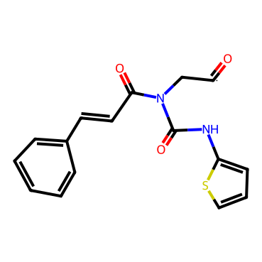 O=[C]CN(C(=O)C=Cc1ccccc1)C(=O)Nc1cccs1